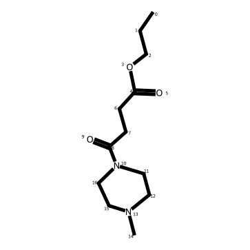 CCCOC(=O)CCC(=O)N1CCN(C)CC1